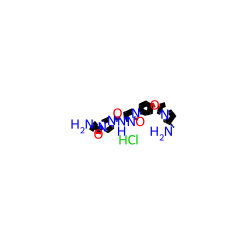 CC(CN1CC[C@H](CN)C1)Oc1ccc(-n2ccc(NC(=O)N3CCN(C(=O)C(C)(C)N)CC3)nc2=O)cc1.Cl